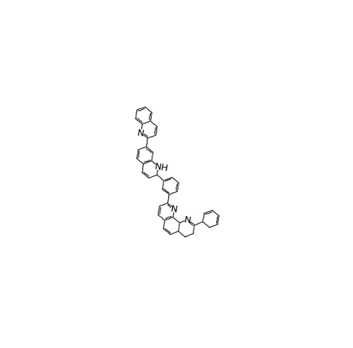 C1=CCC(C2=NC3c4nc(-c5cccc(C6C=Cc7ccc(-c8ccc9ccccc9n8)cc7N6)c5)ccc4C=CC3CC2)C=C1